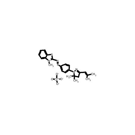 CC(C)=CC1=NN(c2ccc(N=Nc3sc4ccccc4[n+]3C)cc2)C(C)(C)C1.[O-][Cl+3]([O-])([O-])[O-]